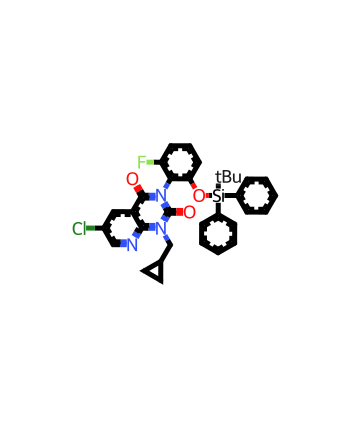 CC(C)(C)[Si](Oc1cccc(F)c1-n1c(=O)c2cc(Cl)cnc2n(CC2CC2)c1=O)(c1ccccc1)c1ccccc1